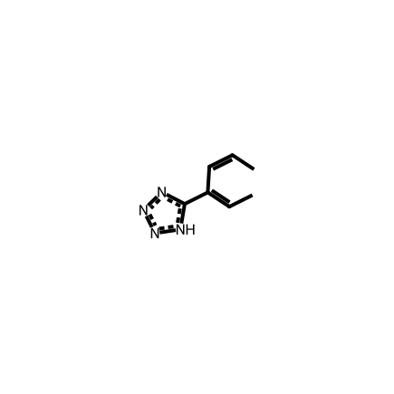 C/C=C\C(=C/C)c1nnn[nH]1